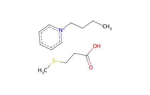 CCCC[n+]1ccccc1.CSCCC(=O)O